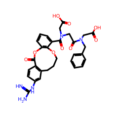 N=C(N)Nc1ccc2c(c1)CCCOc1c(cccc1C(=O)N(CC(=O)O)CC(=O)N(CC(=O)O)Cc1ccccc1)OC2=O